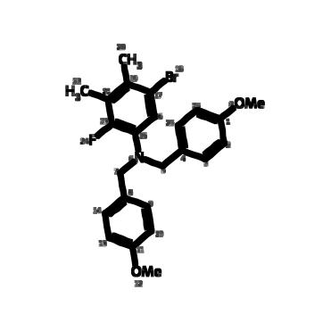 COc1ccc(CN(Cc2ccc(OC)cc2)c2cc(Br)c(C)c(C)c2F)cc1